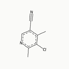 Cc1ncc(C#N)c(C)c1Cl